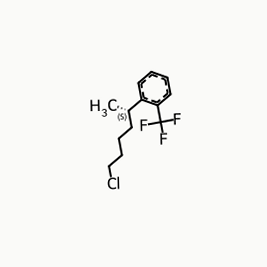 C[C@@H](CCCCCl)c1ccccc1C(F)(F)F